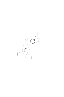 COc1cc(NC(C)=O)c(Cl)cc1C(=O)NC(C)C(=O)N1CC(F)(F)CC1C(=O)O